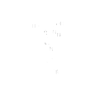 Cc1cc(O)n2ncc(C(=O)NCc3ccc(Br)cc3)c2n1